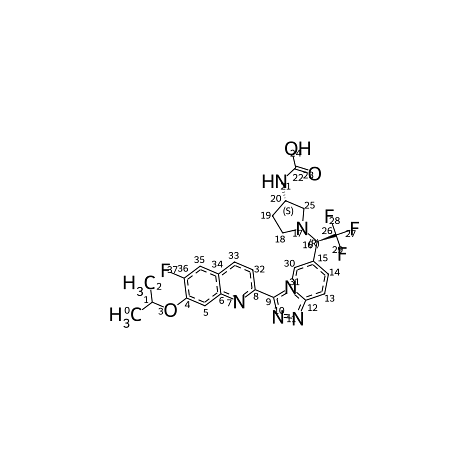 CC(C)Oc1cc2nc(-c3nnc4ccc([C@@H](N5CC[C@H](NC(=O)O)C5)C(F)(F)F)cn34)ccc2cc1F